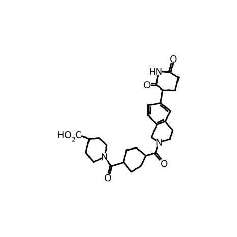 O=C1CCC(c2ccc3c(c2)CCN(C(=O)C2CCC(C(=O)N4CCC(C(=O)O)CC4)CC2)C3)C(=O)N1